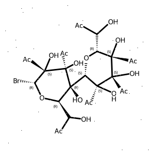 CC(=O)C(O)[C@H]1O[C@H](Br)[C@@](O)(C(C)=O)[C@](O)(C(C)=O)[C@]1(O)[C@@H]1O[C@H](C(O)C(C)=O)[C@@](O)(C(C)=O)[C@@](O)(C(C)=O)[C@]1(O)C(C)=O